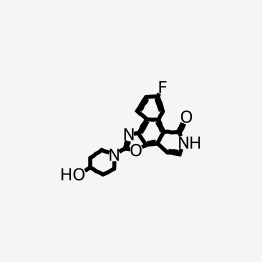 O=c1[nH]ccc2c3oc(N4CCC(O)CC4)nc3c3ccc(F)cc3c12